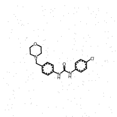 O=C(Nc1ccc(Cl)cc1)Nc1ccc(CN2CCOCC2)cc1